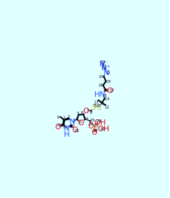 Cc1cn([C@H]2CC(OCSSC(C)(C)CNC(=O)CCCN=[N+]=[N-])[C@@H](COP(=O)(O)O)O2)c(=O)[nH]c1=O